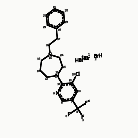 Br.Br.Br.FC(F)(F)c1cnc(N2CCCN(CCc3ccccc3)CC2)c(Cl)c1